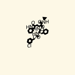 O=C(N[C@@H](CC1CCCCC1)C(=O)NC(CC1CC2(CCCCC2)NC1=O)C(=O)C(=O)NC1CC1)OCc1cccc(Cl)c1